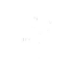 CCO[Si](OCC)C1(C)CCCCC1